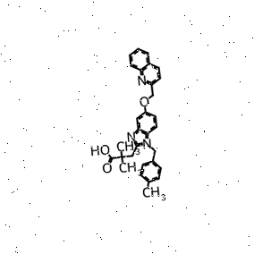 Cc1ccc(Cn2c(CC(C)(C)C(=O)O)nc3cc(OCc4ccc5ccccc5n4)ccc32)cc1